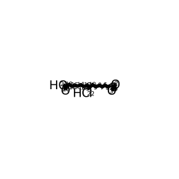 CS(=O)(=O)CCCCCCCCCCCCCCCC(=O)O.Cl